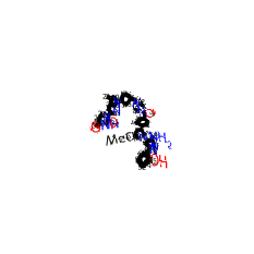 CO[C@@H]1C[C@H](c2ccc(C(=O)N3CCN(CC4CCC(n5cc(C)c6cc(N7CCC(=O)NC7=O)cnc65)CC4)CC3)cc2C)CN(c2cc(-c3ccccc3O)nnc2N)C1